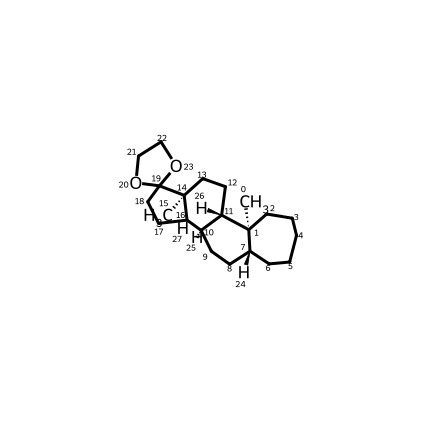 C[C@]12CCCCC[C@@H]1CC[C@@H]1[C@@H]2CC[C@@]2(C)[C@H]1CCC21OCCO1